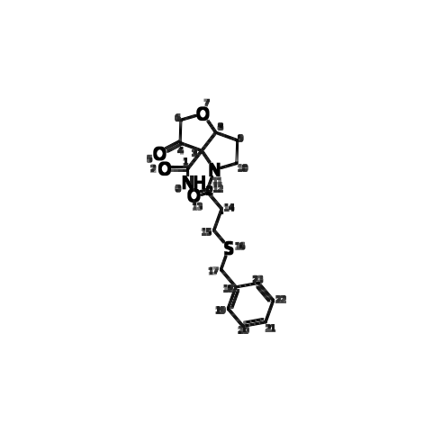 NC(=O)C12C(=O)COC1CCN2C(=O)[CH]CSCc1ccccc1